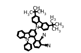 CC(C)(C)c1ccc2c(c1)c1cc(C(C)(C)C)ccc1n2-c1cc(-c2cccc(C#N)c2C#N)c2c(c1)c1ccccc1n2-c1ccccc1